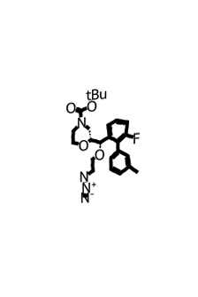 Cc1cccc(-c2c(F)cccc2[C@H](OCCN=[N+]=[N-])[C@H]2CN(C(=O)OC(C)(C)C)CCO2)c1